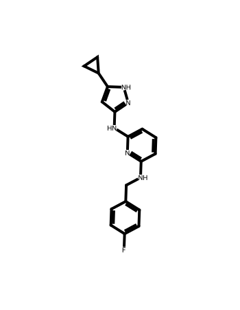 Fc1ccc(CNc2cccc(Nc3cc(C4CC4)[nH]n3)n2)cc1